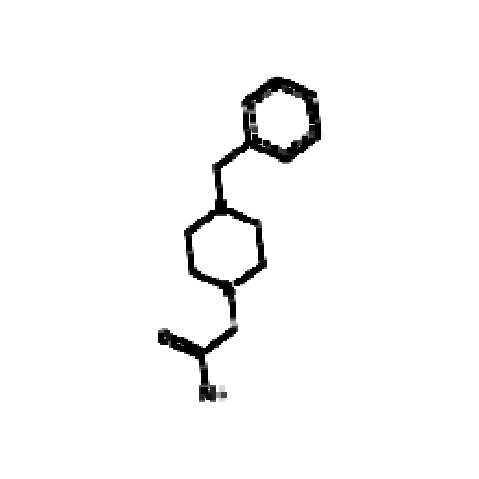 [NH]C(=O)CN1CCN(Cc2ccccc2)CC1